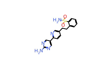 Nc1ncc(-c2ccc(CCc3ccccc3S(N)(=O)=O)cn2)cn1